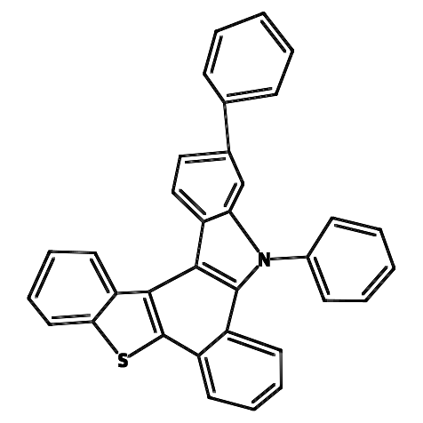 c1ccc(-c2ccc3c4c5c6ccccc6sc5c5ccccc5c4n(-c4ccccc4)c3c2)cc1